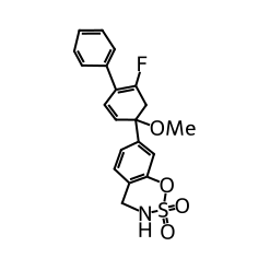 COC1(c2ccc3c(c2)OS(=O)(=O)NC3)C=CC(c2ccccc2)=C(F)C1